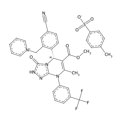 COC(=O)C1=C(C)N(c2cccc(C(F)(F)F)c2)c2n[nH]c(=O)n2[C@@H]1c1ccc(C#N)cc1C[n+]1ccccc1.Cc1ccc(S(=O)(=O)[O-])cc1